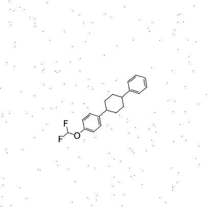 FC(F)Oc1ccc(C2CCC(c3ccccc3)CC2)cc1